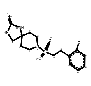 N=C1NCC2(CCN(S(=O)(=O)CCc3ccccc3Cl)CC2)N1